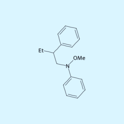 CCC(CN(OC)c1ccccc1)c1ccccc1